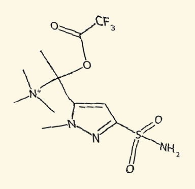 Cn1nc(S(N)(=O)=O)cc1C(C)(OC(=O)C(F)(F)F)[N+](C)(C)C